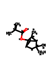 C=C(C)C(=O)OC1C2CC(C1C)C(C#N)(C(=O)O)C2